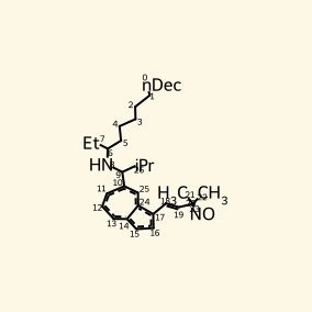 CCCCCCCCCCCCCCCC(CC)NC(c1cccc2ccc(C=CC(C)(C)N=O)c-2c1)C(C)C